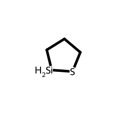 C1C[SiH2]SC1